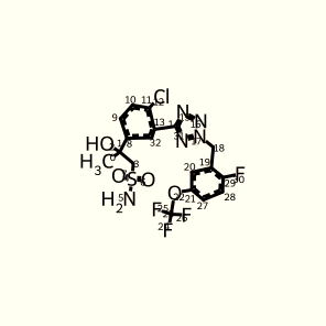 CC(O)(CS(N)(=O)=O)c1ccc(Cl)c(-c2nnn(Cc3cc(OC(F)(F)F)ccc3F)n2)c1